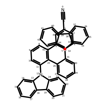 N#Cc1cccc(-c2cccc(-n3c4ccccc4c4ccccc43)c2-c2ccccc2-n2c3ccccc3c3ccccc32)c1